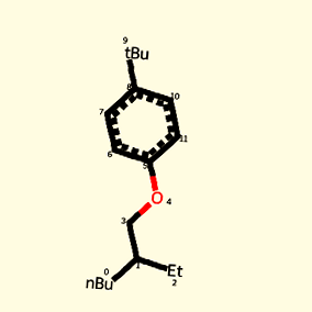 CCCCC(CC)COc1ccc(C(C)(C)C)cc1